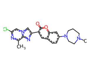 Cc1nc(Cl)cn2cc(-c3cc4ccc(N5CCCN(C)CC5)cc4oc3=O)nc12